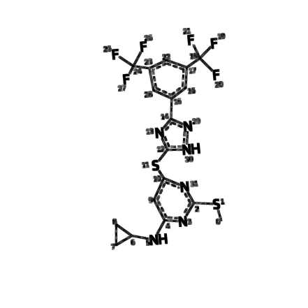 CSc1nc(NC2CC2)cc(Sc2nc(-c3cc(C(F)(F)F)cc(C(F)(F)F)c3)n[nH]2)n1